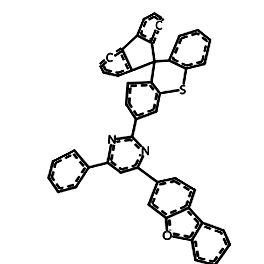 c1ccc(-c2cc(-c3ccc4c(c3)oc3ccccc34)nc(-c3ccc4c(c3)Sc3ccccc3C43c4ccccc4-c4ccccc43)n2)cc1